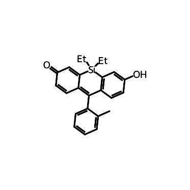 CC[Si]1(CC)C2=CC(=O)C=CC2=C(c2ccccc2C)c2ccc(O)cc21